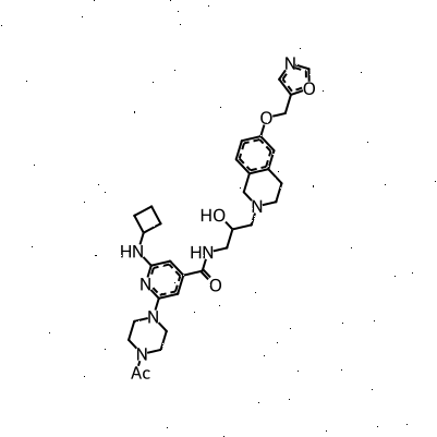 CC(=O)N1CCN(c2cc(C(=O)NCC(O)CN3CCc4cc(OCc5cnco5)ccc4C3)cc(NC3CCC3)n2)CC1